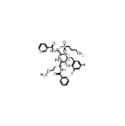 CCCCS(=O)(=O)C[C@@H](NC(=O)c1cccnc1)C(=O)N[C@@H](Cc1cc(F)cc(F)c1)[C@@H](O)[C@H](O)[C@@H](CCOC)NC(=O)c1ccccc1